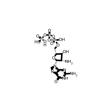 Nc1nc2c(ncn2[C@@H]2O[C@H](COP(=O)(O)OP(=O)(O)OP(=O)(O)O)[C@H](O)[C@@H]2N)c(=O)[nH]1